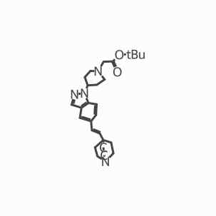 CC(C)(C)OC(=O)CN1CCC(n2ncc3cc(/C=C/C45CCN(CC4)CC5)ccc32)CC1